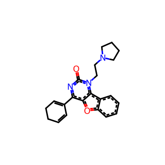 O=c1nc(C2=CCCC=C2)c2oc3ccccc3c2n1CCN1CCCC1